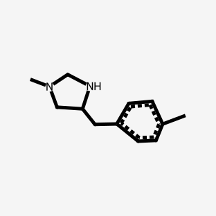 Cc1ccc(CC2CN(C)CN2)cc1